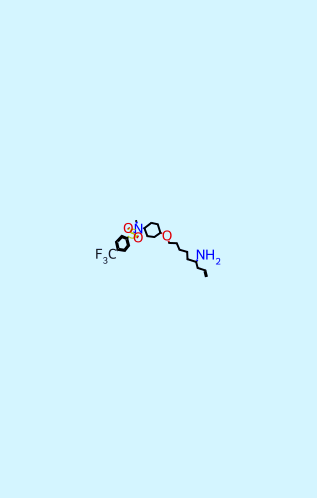 C=CCC(N)CCCCCO[C@H]1CC[C@H](N(C)S(=O)(=O)c2ccc(C(F)(F)F)cc2)CC1